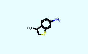 CC1CSc2cc(N)ccc21